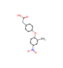 Cc1cc([N+](=O)[O-])ccc1Oc1ccc(CC(=O)O)cc1